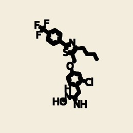 CCCCc1nc(-c2ccc(C(F)(F)F)cc2)sc1COc1ccc(CC(=N)NO)c(Cl)c1